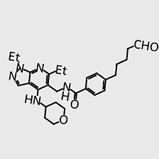 CCc1nc2c(cnn2CC)c(NC2CCOCC2)c1CNC(=O)c1ccc(CCCCC=O)cc1